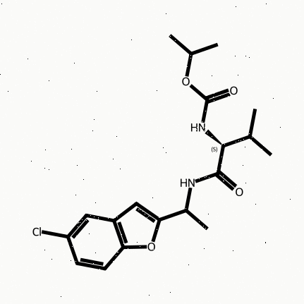 CC(C)OC(=O)N[C@H](C(=O)NC(C)c1cc2cc(Cl)ccc2o1)C(C)C